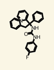 O=C(Nc1ccc(F)cc1)NC(Cc1ccccc1)(c1ccccc1)c1ccccn1